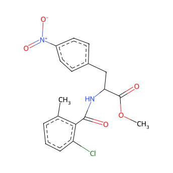 COC(=O)C(Cc1ccc([N+](=O)[O-])cc1)NC(=O)c1c(C)cccc1Cl